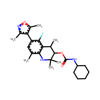 Cc1cc(-c2c(C)noc2C)c(F)c2c1NC(C)(C)C(OC(=O)NC1CCCCC1)C2C